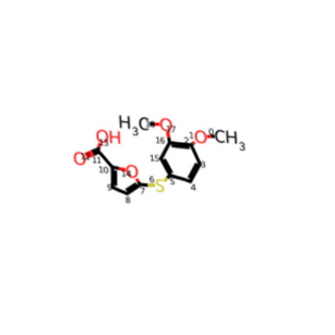 COc1ccc(Sc2ccc(C(=O)O)o2)cc1OC